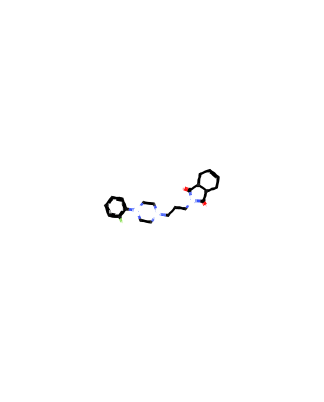 O=C1C2CC=CCC2C(=O)N1CCCN1CCN(c2ccccc2F)CC1